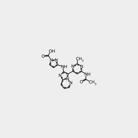 CC(=O)Nc1cc(-c2c(Nc3ccn(C(=O)O)n3)nc3cccnn23)nc(C)n1